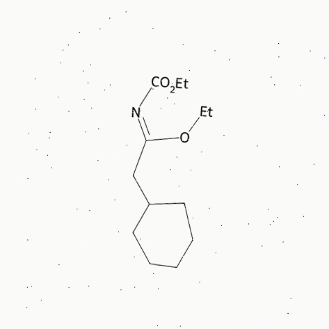 CCOC(=O)N=C(CC1CCCCC1)OCC